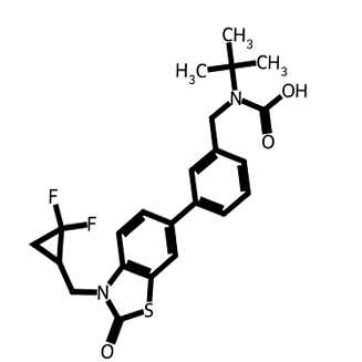 CC(C)(C)N(Cc1cccc(-c2ccc3c(c2)sc(=O)n3CC2CC2(F)F)c1)C(=O)O